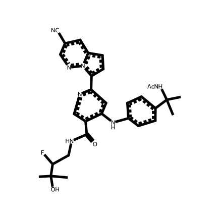 CC(=O)NC(C)(C)c1ccc(Nc2cc(-c3ccc4cc(C#N)cnn34)ncc2C(=O)NCC(F)C(C)(C)O)cc1